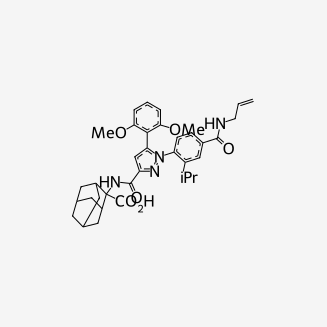 C=CCNC(=O)c1ccc(-n2nc(C(=O)NC3(C(=O)O)C4CC5CC(C4)CC3C5)cc2-c2c(OC)cccc2OC)c(C(C)C)c1